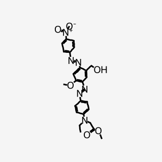 CCN(CC(=O)OC)c1ccc(N=Nc2cc(CO)c(N=Nc3ccc([N+](=O)[O-])cc3)cc2OC)cc1